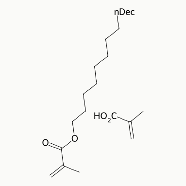 C=C(C)C(=O)O.C=C(C)C(=O)OCCCCCCCCCCCCCCCCCC